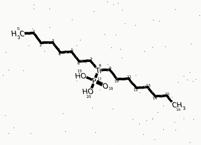 CCCCCCC[CH2][Ti]([CH2]CCCCCCC)[P](=O)(O)O